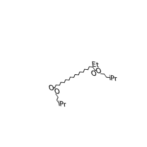 CCC(CCCCCCCCCCCCCCCC(=O)OCCCC(C)C)C(=O)OCCCC(C)C